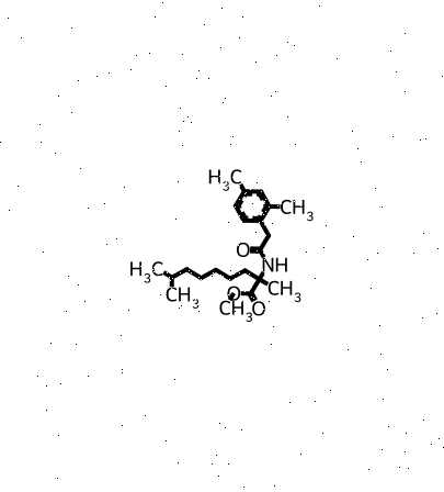 COC(=O)C(C)(CCCCCC(C)C)NC(=O)Cc1ccc(C)cc1C